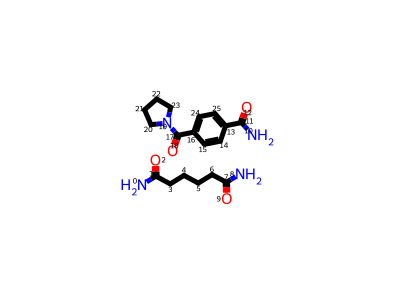 NC(=O)CCCCC(N)=O.NC(=O)c1ccc(C(=O)N2CCCC2)cc1